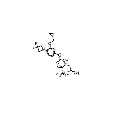 CC(C)C[C@H](NC(=O)Oc1ccc(N2CC(F)(F)C2)c(OCC2CC2)n1)C(N)=O